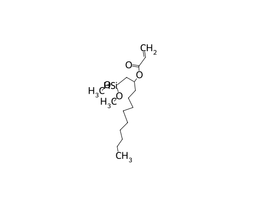 C=CC(=O)OC(CCCCCCCCC)C[SiH](OC)OC